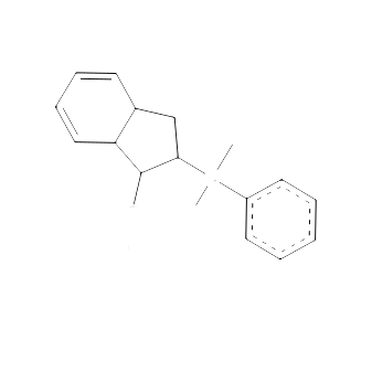 CC[Si](C)(c1ccccc1)C1CC2C=CC=CC2[CH]1[Ti+3].[Cl-].[Cl-].[Cl-]